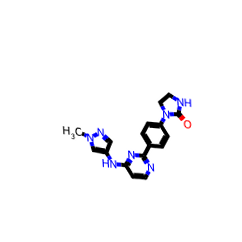 Cn1cc(Nc2ccnc(-c3ccc(N4CCNC4=O)cc3)n2)cn1